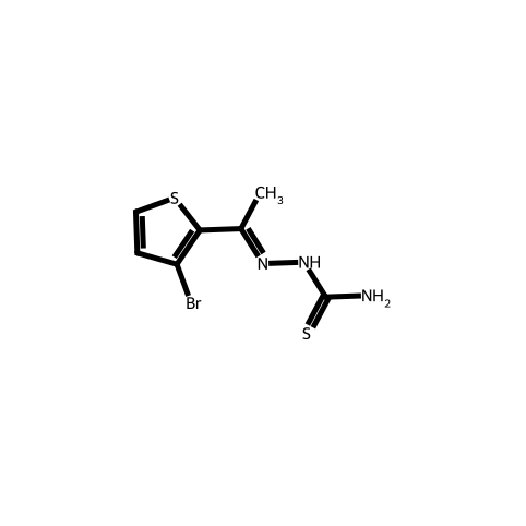 C/C(=N\NC(N)=S)c1sccc1Br